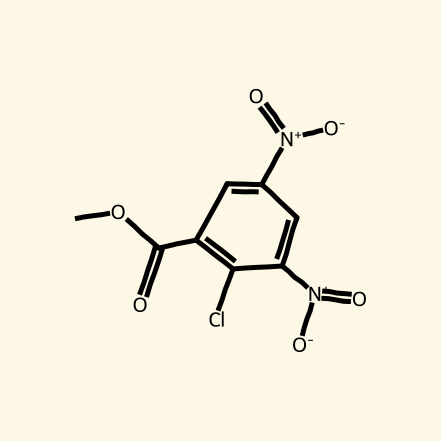 COC(=O)c1cc([N+](=O)[O-])cc([N+](=O)[O-])c1Cl